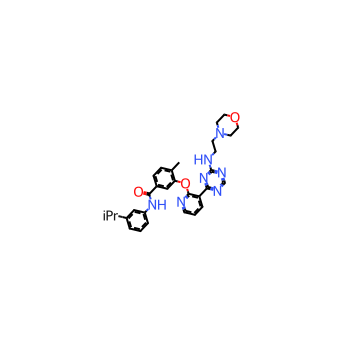 Cc1ccc(C(=O)Nc2cccc(C(C)C)c2)cc1Oc1ncccc1-c1ncnc(NCCN2CCOCC2)n1